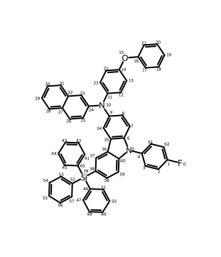 Fc1ccc(-n2c3ccc(N(c4ccc(Oc5ccccc5)cc4)c4ccc5ccccc5c4)cc3c3cc([Si](c4ccccc4)(c4ccccc4)c4ccccc4)ccc32)cc1